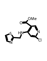 COC(=O)c1cnc(Cl)cc1NCc1nccs1